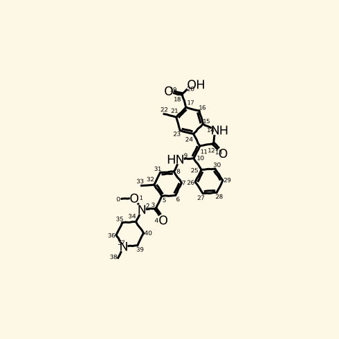 CON(C(=O)c1ccc(NC(=C2C(=O)Nc3cc(C(=O)O)c(C)cc32)c2ccccc2)cc1C)C1CCN(C)CC1